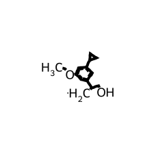 [CH2]C(CO)c1cc(OCC)cc(C2CC2)c1